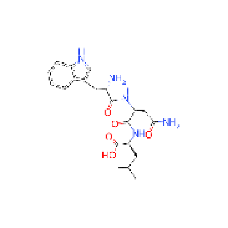 CC(C)C[C@H](NC(=O)[C@H](CC(N)=O)NC(=O)[C@@H](N)Cc1c[nH]c2ccccc12)C(=O)O